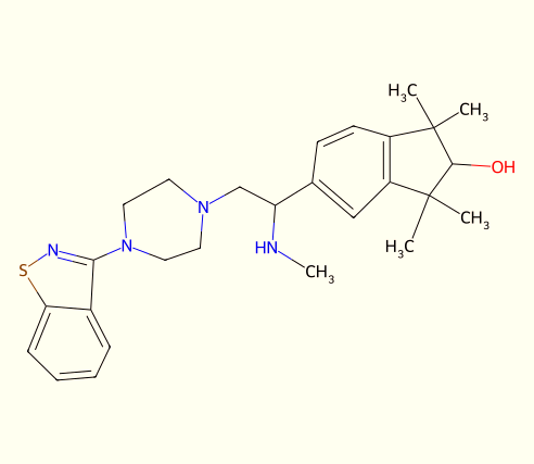 CNC(CN1CCN(c2nsc3ccccc23)CC1)c1ccc2c(c1)C(C)(C)C(O)C2(C)C